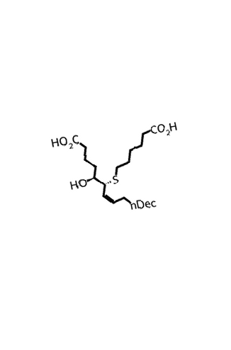 CCCCCCCCCCC/C=C\[C@@H](SCCCCCC(=O)O)[C@@H](O)CCCC(=O)O